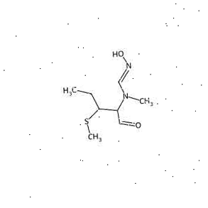 CCC(SC)C(C=O)N(C)C=NO